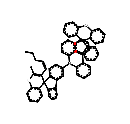 CCC/C=C\C1=C(C)Oc2ccccc2C12c1ccccc1-c1cc(N(c3ccccc3-c3ccccc3)c3cccc4c3-c3ccccc3C43c4ccccc4Oc4ccccc43)ccc12